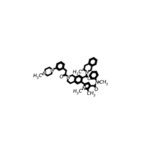 Cc1c(C(=O)N(C)c2ccccc2)cc(-c2cc3c(cc2C(=O)N2Cc4ccccc4C[C@H]2C)CN(C(=O)Cc2cccc(N4CCN(C)CC4)c2)CC3)n1C